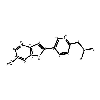 CN(C)Cc1ccc(-c2cc3ncc(C#N)cc3s2)cn1